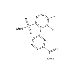 CNS(=O)(=O)c1ccc(Cl)c(F)c1-c1cncc(C(=O)OC)n1